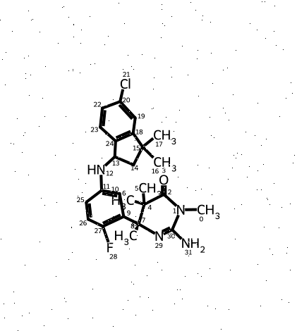 CN1C(=O)C(C)(C)[C@@](C)(c2cc(NC3CC(C)(C)c4cc(Cl)ccc43)ccc2F)N=C1N